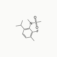 Cc1ccc(C(C)C)c(N(C)S(C)(=O)=O)c1F